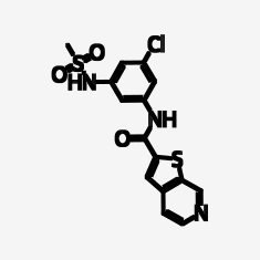 CS(=O)(=O)Nc1cc(Cl)cc(NC(=O)c2cc3ccncc3s2)c1